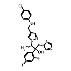 C[C@@H](n1cc(CNc2ccc(Cl)cc2)cn1)[C@](O)(Cn1cncn1)c1ccc(F)cc1F